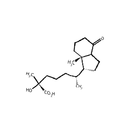 C[C@H](CCC[C@@](C)(O)C(=O)O)[C@H]1CCC2C(=O)CCC[C@]21C